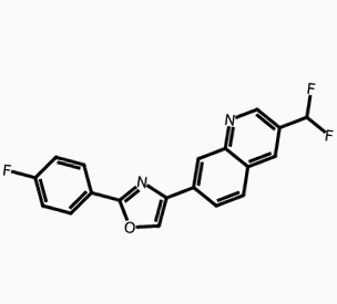 Fc1ccc(-c2nc(-c3ccc4cc(C(F)F)cnc4c3)co2)cc1